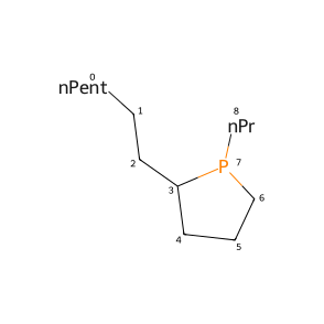 CCCCCCCC1CCCP1CCC